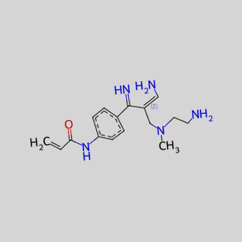 C=CC(=O)Nc1ccc(C(=N)/C(=C\N)CN(C)CCN)cc1